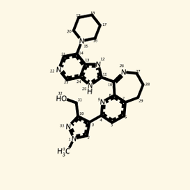 Cn1cc(-c2ccc3c(n2)C(c2nc4c(N5CCCCC5)cncc4[nH]2)=NCCC3)c(CO)n1